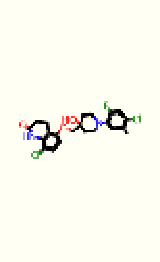 Cc1cc(N2CCC(O)(COc3ccc(Cl)c4c3CCC(=O)N4)CC2)c(F)cc1Cl